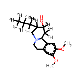 [2H]C([2H])([2H])C([2H])(C)C([2H])([2H])C1([2H])CN2CCc3cc(OC)c(OC)cc3C2C([2H])([2H])C1([2H])O